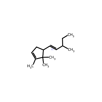 CCC(C)/C=C/C1CC=C(C)C1(C)C